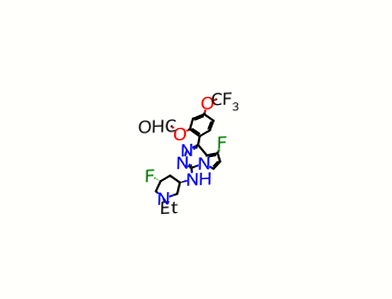 CCN1C[C@H](F)C[C@@H](Nc2nnc(-c3ccc(OC(F)(F)F)cc3OC=O)c3c(F)ccn23)C1